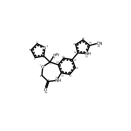 CCCC1(c2cccs2)OCC(=O)Nc2ccc(-c3ccc(C#N)[nH]3)cc21